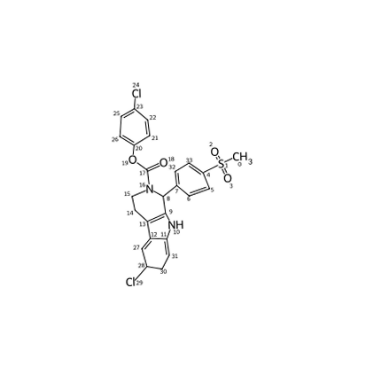 CS(=O)(=O)c1ccc(C2c3[nH]c4c(c3CCN2C(=O)Oc2ccc(Cl)cc2)=CC(Cl)CC=4)cc1